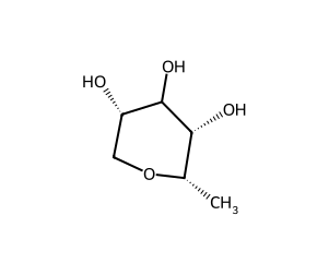 C[C@@H]1OC[C@H](O)C(O)[C@@H]1O